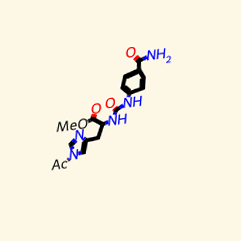 COC(=O)C(Cc1cn(C(C)=O)cn1)NC(=O)Nc1ccc(C(N)=O)cc1